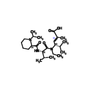 CCN(C(=O)[C@@H](NC(=O)[C@H]1CCCCN1C(C)C)C(C)C)[C@H](/C=C(\C)C(=O)O)C(C)C